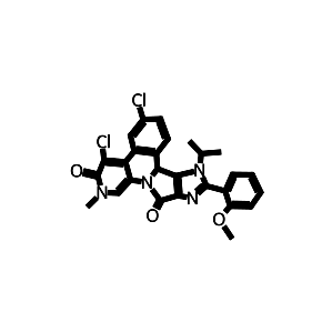 COc1ccccc1-c1nc2c(n1C(C)C)C1c3ccc(Cl)cc3-c3c(cn(C)c(=O)c3Cl)N1C2=O